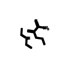 C=C(CCC)C(N)=O.CCNCC